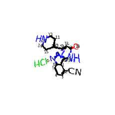 Cl.N#Cc1cccc2nn3c(C4CCNCC4)cc(=O)[nH]c3c12